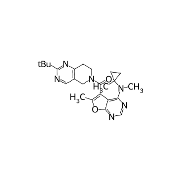 Cc1oc2ncnc(N(C)C3(C)CC3)c2c1C(=O)N1CCc2nc(C(C)(C)C)ncc2C1